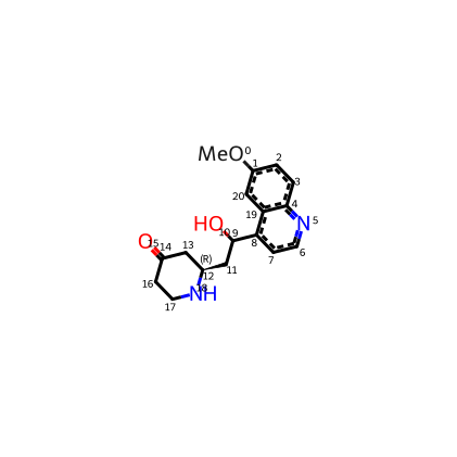 COc1ccc2nccc(C(O)C[C@@H]3CC(=O)CCN3)c2c1